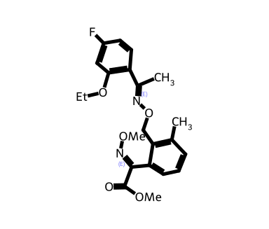 CCOc1cc(F)ccc1/C(C)=N/OCc1c(C)cccc1/C(=N\OC)C(=O)OC